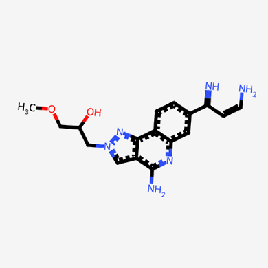 COCC(O)Cn1cc2c(N)nc3cc(C(=N)/C=C\N)ccc3c2n1